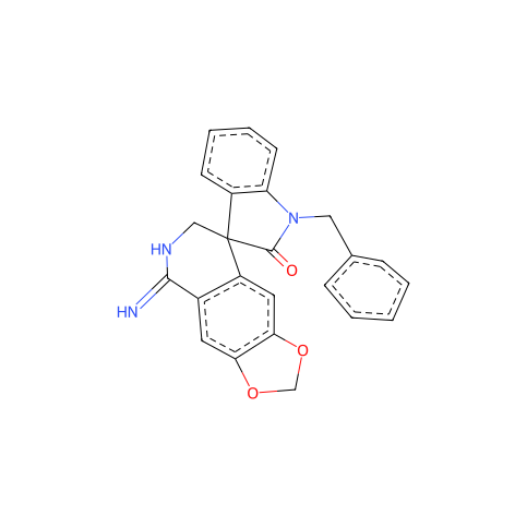 N=C1NCC2(C(=O)N(Cc3ccccc3)c3ccccc32)c2cc3c(cc21)OCO3